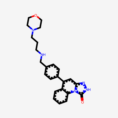 O=c1[nH]nc2cc(-c3ccc(CNCCCN4CCOCC4)cc3)c3ccccc3n12